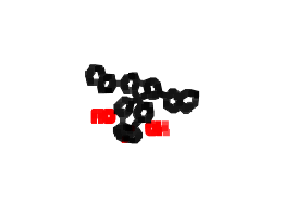 Oc1ccc(C2(c3ccc(O)c(-c4ccccc4)c3)c3cc(-c4ccc5ccccc5c4)ccc3-c3ccc(-c4ccc5ccccc5c4)cc32)cc1-c1ccccc1